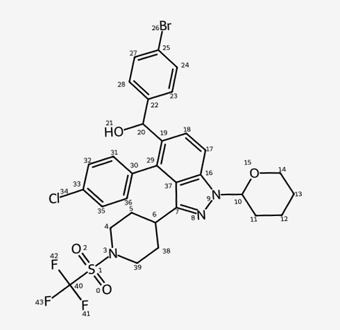 O=S(=O)(N1CCC(c2nn(C3CCCCO3)c3ccc(C(O)c4ccc(Br)cc4)c(-c4ccc(Cl)cc4)c23)CC1)C(F)(F)F